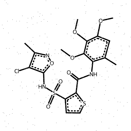 COc1cc(C)c(NC(=O)c2sccc2S(=O)(=O)Nc2onc(C)c2Cl)c(OC)c1OC